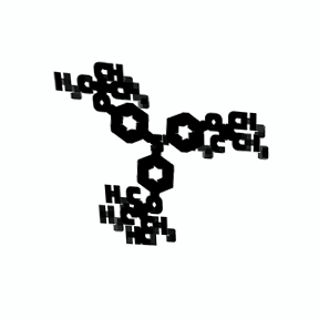 CC(C)(C)Oc1ccc([S+](c2ccc(OC(C)(C)C)cc2)c2ccc(OC(C)(C)C)cc2)cc1.Cl